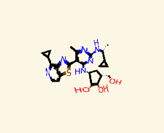 Cc1nc(N[C@H](C)C2CC2)nc(N[C@@H]2C[C@H](CO)[C@@H](O)[C@H]2O)c1-c1nc2c(C3CC3)nccc2s1